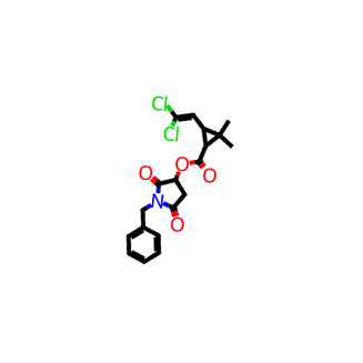 CC1(C)C(C=C(Cl)Cl)C1C(=O)OC1CC(=O)N(Cc2ccccc2)C1=O